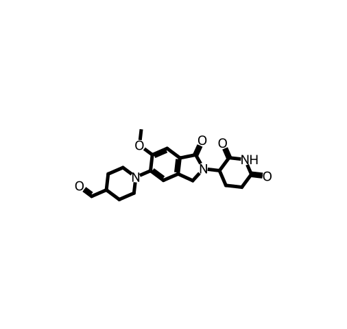 COc1cc2c(cc1N1CCC(C=O)CC1)CN(C1CCC(=O)NC1=O)C2=O